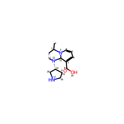 CC(C)N1C=CC=C(C(=O)O)C1N(C)[C@@H]1CCNC1